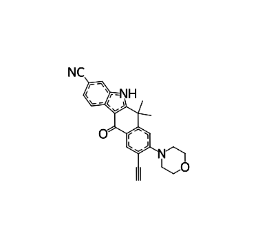 C#Cc1cc2c(cc1N1CCOCC1)C(C)(C)c1[nH]c3cc(C#N)ccc3c1C2=O